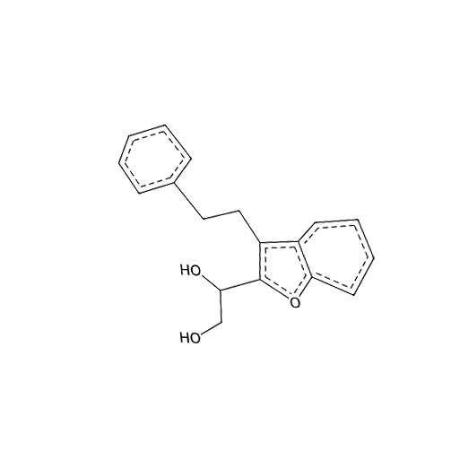 OCC(O)c1oc2ccccc2c1CCc1ccccc1